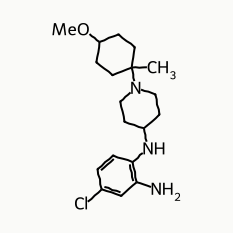 COC1CCC(C)(N2CCC(Nc3ccc(Cl)cc3N)CC2)CC1